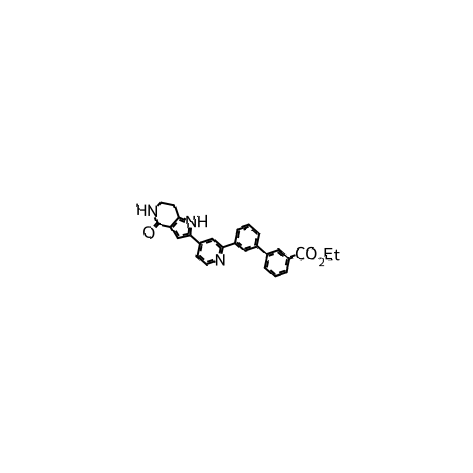 CCOC(=O)c1cccc(-c2cccc(-c3cc(-c4cc5c([nH]4)CCNC5=O)ccn3)c2)c1